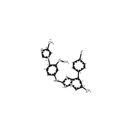 COc1cc(Nc2nc3c(-c4ccc(F)cc4)cc(C)cn3n2)ccc1-n1cnc(C)c1